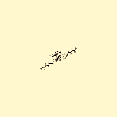 CCCCCCCCCCCCCCCCCCCC.O=C(O)O